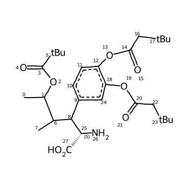 CC(OC(=O)C(C)(C)C)C(C)C(c1ccc(OC(=O)CC(C)(C)C)c(OC(=O)CC(C)(C)C)c1)[C@H](N)C(=O)O